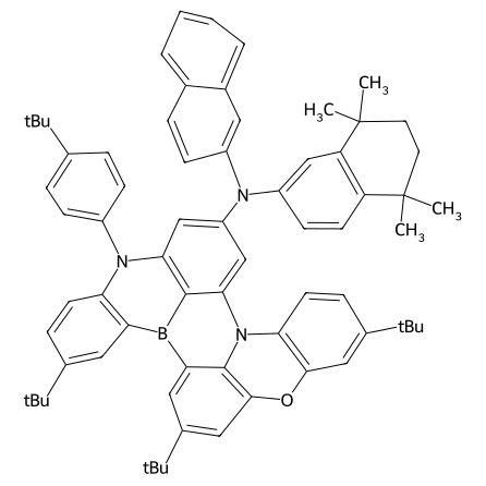 CC(C)(C)c1ccc(N2c3ccc(C(C)(C)C)cc3B3c4cc(C(C)(C)C)cc5c4N(c4ccc(C(C)(C)C)cc4O5)c4cc(N(c5ccc6c(c5)C(C)(C)CCC6(C)C)c5ccc6ccccc6c5)cc2c43)cc1